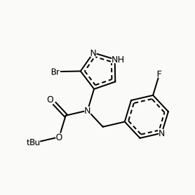 CC(C)(C)OC(=O)N(Cc1cncc(F)c1)c1c[nH]nc1Br